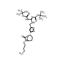 CCCCON1C(=O)N2CC1CC[C@H]2c1cc(CN/C(=N\C(=O)OC(C)(C)C)NC(=O)OC(C)(C)C)on1